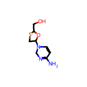 NC1=NCN(C2CSC(CO)O2)C=C1